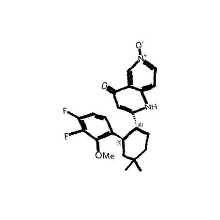 COc1c([C@@H]2CC(C)(C)CC[C@H]2c2cc(=O)c3c[n+]([O-])ccc3[nH]2)ccc(F)c1F